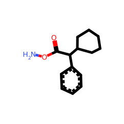 NOC(=O)C(c1ccccc1)C1CCCCC1